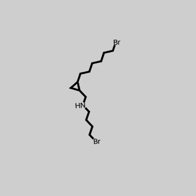 BrCCCCCCC1CC1CNCCCCBr